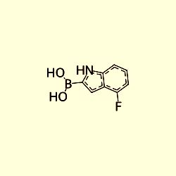 OB(O)c1cc2c(F)cccc2[nH]1